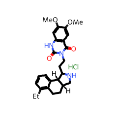 CCc1cccc2c1CC[C@H]1CNC(CCn3c(=O)[nH]c4cc(OC)c(OC)cc4c3=O)[C@@H]21.Cl